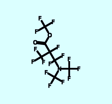 O=C(OC(F)(F)F)C(F)(C(F)(F)F)C(F)(F)N(C(F)(F)F)C(F)(F)F